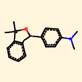 CN(C)c1ccc(C2O[Si](C)(C)c3ccccc32)cc1